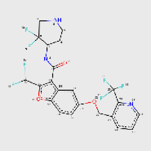 O=C(NC1CCNCC1(F)F)c1c(C(F)F)oc2ccc(OCc3cccnc3C(F)(F)F)cc12